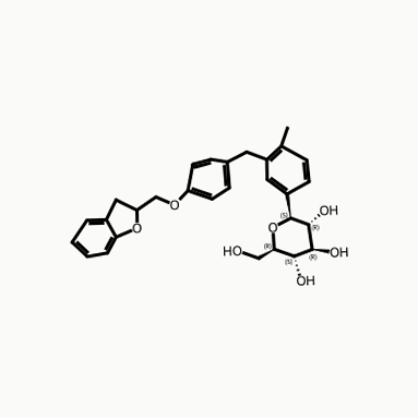 Cc1ccc([C@@H]2O[C@H](CO)[C@@H](O)[C@H](O)[C@H]2O)cc1Cc1ccc(OCC2Cc3ccccc3O2)cc1